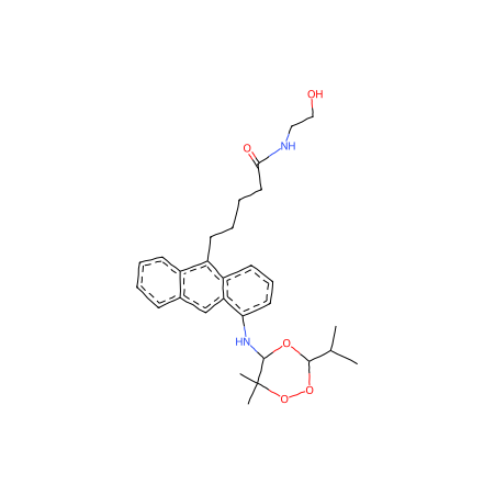 CC(C)C1OOC(C)(C)C(Nc2cccc3c(CCCCC(=O)NCCO)c4ccccc4cc23)O1